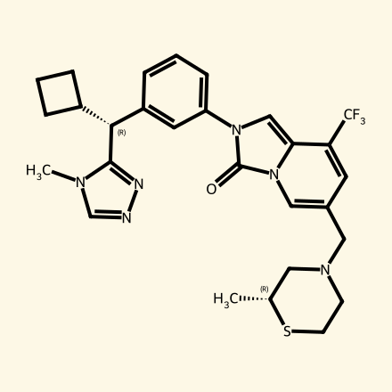 C[C@@H]1CN(Cc2cc(C(F)(F)F)c3cn(-c4cccc([C@H](c5nncn5C)C5CCC5)c4)c(=O)n3c2)CCS1